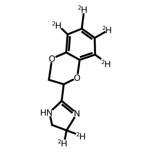 [2H]c1c([2H])c([2H])c2c(c1[2H])OCC(C1=NC([2H])([2H])CN1)O2